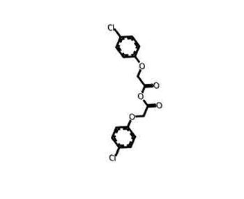 O=C(COc1ccc(Cl)cc1)OC(=O)COc1ccc(Cl)cc1